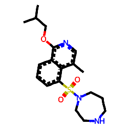 Cc1cnc(OCC(C)C)c2cccc(S(=O)(=O)N3CCCNCC3)c12